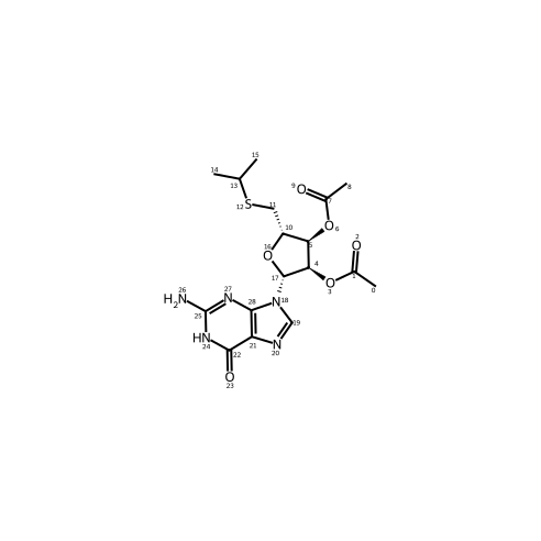 CC(=O)O[C@@H]1[C@H](OC(C)=O)[C@@H](CSC(C)C)O[C@H]1n1cnc2c(=O)[nH]c(N)nc21